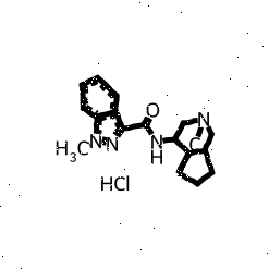 Cl.Cn1nc(C(=O)NC2CN3CC4CCC(C3)C42)c2ccccc21